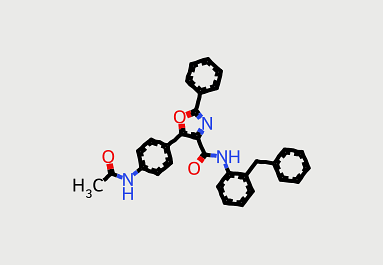 CC(=O)Nc1ccc(-c2oc(-c3ccccc3)nc2C(=O)Nc2ccccc2Cc2ccccc2)cc1